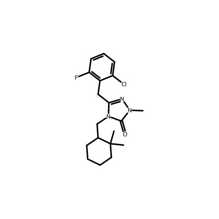 Cn1nc(Cc2c(F)cccc2Cl)n(CC2CCCCC2(C)C)c1=O